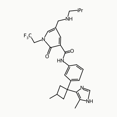 Cc1[nH]cnc1C1(c2cccc(NC(=O)c3cc(CNCC(C)C)cn(CC(F)(F)F)c3=O)c2)CC(C)C1